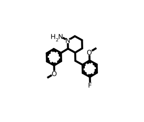 COc1cccc(C2C(Cc3cc(F)ccc3OC)CCCN2N)c1